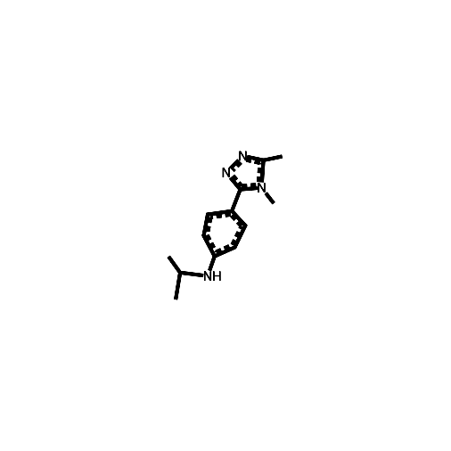 Cc1nnc(-c2ccc(NC(C)C)cc2)n1C